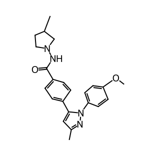 COc1ccc(-n2nc(C)cc2-c2ccc(C(=O)NN3CCC(C)C3)cc2)cc1